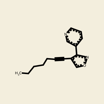 CCCCCC#Cc1conc1-c1cccnc1